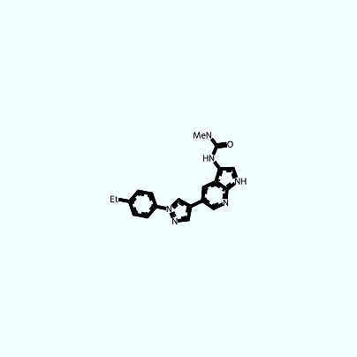 CCc1ccc(-n2cc(-c3cnc4[nH]cc(NC(=O)NC)c4c3)cn2)cc1